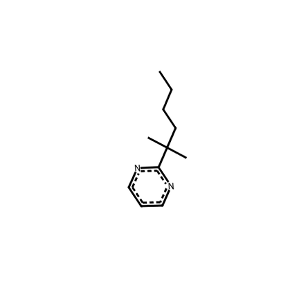 CCCCC(C)(C)c1ncccn1